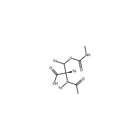 [2H]C(SC(=O)NC)[C@@]([2H])(C(=O)O)N([2H])C(C)=O